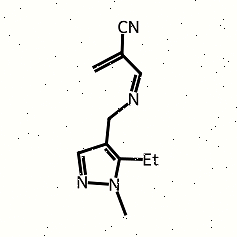 C=C(C#N)/C=N\Cc1cnn(C)c1CC